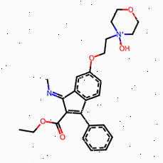 CCOC(=O)C1=C(c2ccccc2)c2ccc(OCC[N+]3(O)CCOCC3)cc2/C1=N\C